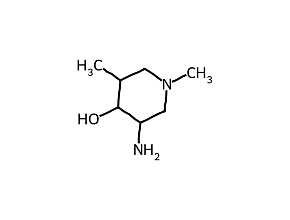 CC1CN(C)CC(N)C1O